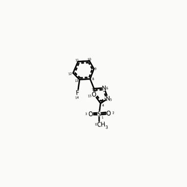 CS(=O)(=O)c1nnc(-c2ccccc2F)o1